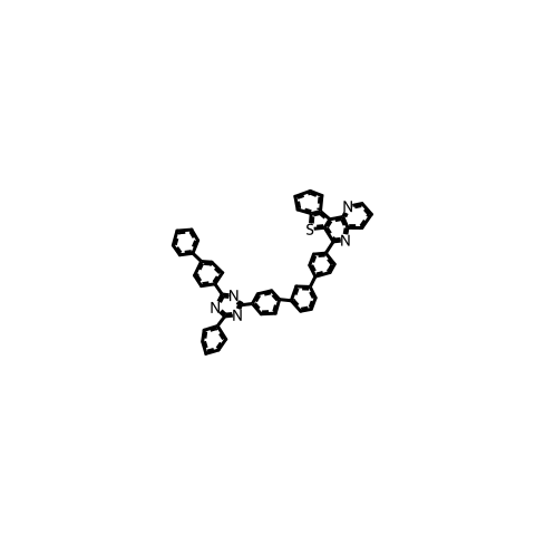 c1ccc(-c2ccc(-c3nc(-c4ccccc4)nc(-c4ccc(-c5cccc(-c6ccc(-c7nc8cccnc8c8c7sc7ccccc78)cc6)c5)cc4)n3)cc2)cc1